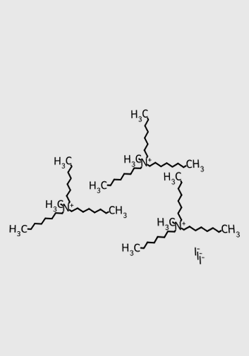 CCCCCCCC[N+](C)(CCCCCCCC)CCCCCCCC.CCCCCCCC[N+](C)(CCCCCCCC)CCCCCCCC.CCCCCCCC[N+](C)(CCCCCCCC)CCCCCCCC.[I-].[I-].[I-]